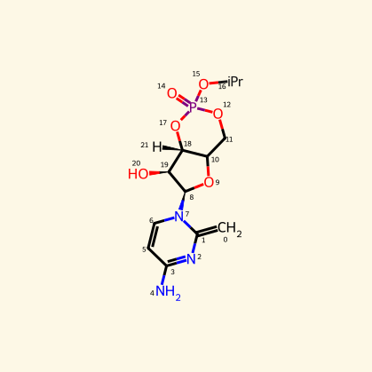 C=C1N=C(N)C=CN1[C@@H]1OC2COP(=O)(OC(C)C)O[C@H]2[C@@H]1O